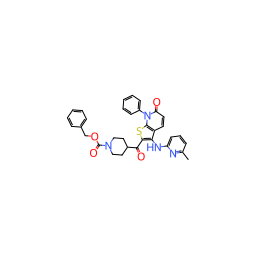 Cc1cccc(Nc2c(C(=O)C3CCN(C(=O)OCc4ccccc4)CC3)sc3c2ccc(=O)n3-c2ccccc2)n1